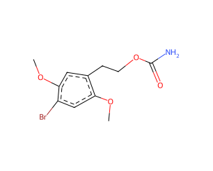 COc1cc(CCOC(N)=O)c(OC)cc1Br